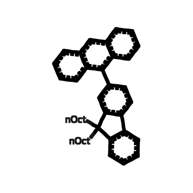 CCCCCCCCC1(CCCCCCCC)c2ccccc2-c2ccc(-c3c4ccccc4cc4ccccc34)cc21